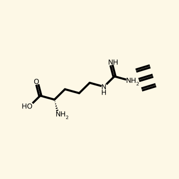 C=C.C=C.C=C.N=C(N)NCCC[C@H](N)C(=O)O